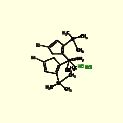 CCC1=CC([Si](C)(C)C)=[C]([Zr]([CH3])([CH3])(=[SiH2])[C]2=C([Si](C)(C)C)C=C(CC)C2)C1.Cl.Cl